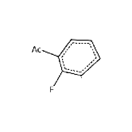 CC(=O)c1ccc[c]c1F